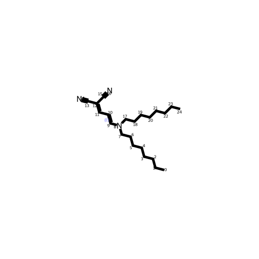 CCCCCCCCN(/C=C/C=C(C#N)C#N)CCCCCCCC